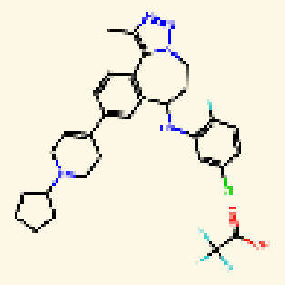 Cc1nnn2c1-c1ccc(C3=CCN(C4CCCC4)CC3)cc1C(Nc1cc(Cl)ccc1F)CC2.O=C(O)C(F)(F)F